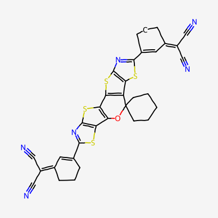 N#CC(C#N)=C1C=C(c2nc3sc4c(c3s2)OC2(CCCCC2)c2c-4sc3nc(C4=CC(=C(C#N)C#N)CCC4)sc23)CCC1